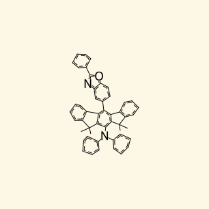 CC1(C)c2ccccc2-c2c(-c3ccc4oc(-c5ccccc5)nc4c3)c3c(c(N(c4ccccc4)c4ccccc4)c21)C(C)(C)c1ccccc1-3